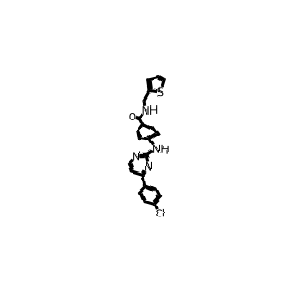 O=C(NCc1cccs1)c1ccc(Nc2nccc(-c3ccc(Cl)cc3)n2)cc1